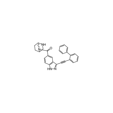 O=C(c1ccc2[nH]nc(C#Cc3ccccc3-c3ccccc3)c2c1)N1CC2CCC1CN2